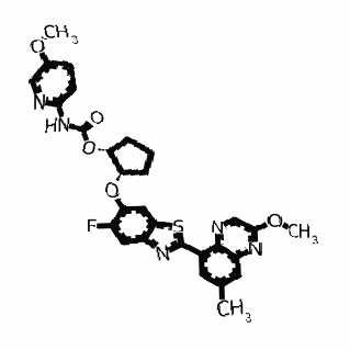 COc1ccc(NC(=O)O[C@@H]2CCC[C@@H]2Oc2cc3sc(-c4cc(C)cc5nc(OC)cnc45)nc3cc2F)nc1